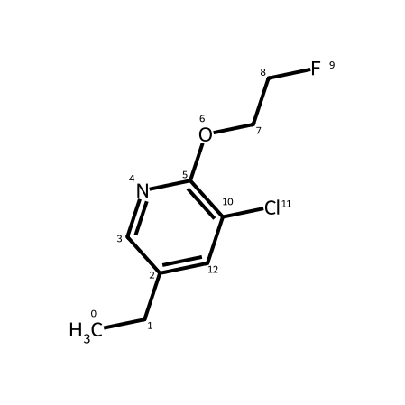 CCc1cnc(OCCF)c(Cl)c1